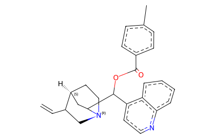 C=CC1C[N@]2CC[C@H]1CC2C(OC(=O)c1ccc(C)cc1)c1ccnc2ccccc12